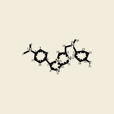 CN(C)c1ccc(-c2cnc3cnc(CN(C)c4ccc(F)cc4)cn23)cc1